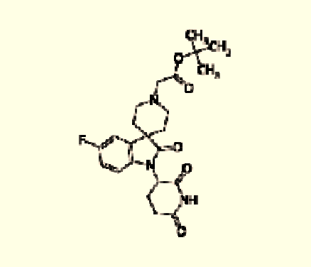 CC(C)(C)OC(=O)CN1CCC2(CC1)C(=O)N(C1CCC(=O)NC1=O)c1ccc(F)cc12